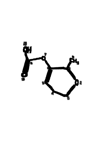 CC1OCCC=C1OC(=O)O